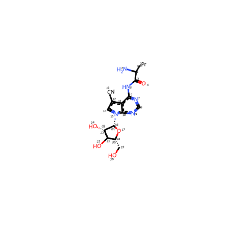 CC(C)C(N)C(=O)Nc1ncnc2c1c(C#N)cn2[C@@H]1O[C@H](CO)C(O)[C@@H]1O